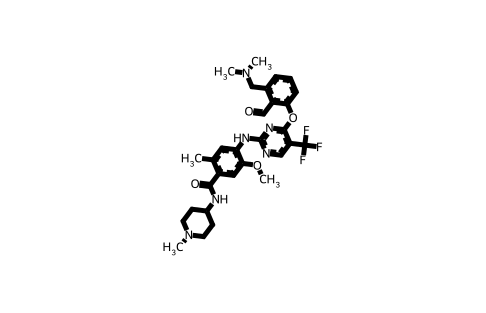 COc1cc(C(=O)NC2CCN(C)CC2)c(C)cc1Nc1ncc(C(F)(F)F)c(Oc2cccc(CN(C)C)c2C=O)n1